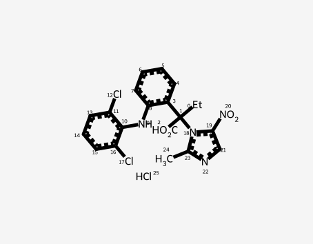 CCC(C(=O)O)(c1ccccc1Nc1c(Cl)cccc1Cl)n1c([N+](=O)[O-])cnc1C.Cl